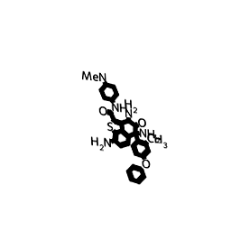 CNC1CCC(NC(=O)c2sc3c(N)ccc4c3c2C(N)C(=O)C4(N)c2ccc(Oc3ccccc3)cc2C)CC1